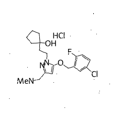 CNCc1cc(OCc2cc(Cl)ccc2F)n(CCC2(O)CCCC2)n1.Cl